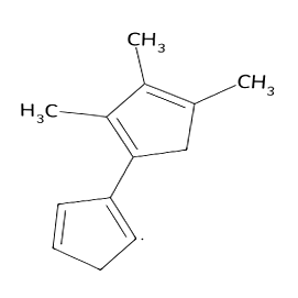 CC1=C(C)C(C)=C(C2=[C]CC=C2)C1